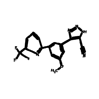 COc1cc(-c2cccc(C(F)(F)F)n2)cc(-c2nn[nH]c2C#N)c1